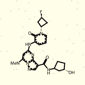 CNc1cc(Nc2cccn([C@H]3C[C@H](F)C3)c2=O)nc2c(C(=O)NC3CC[C@H](O)C3)cnn12